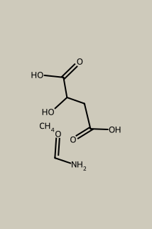 C.NC=O.O=C(O)CC(O)C(=O)O